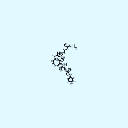 NC(=O)CCCNC(=O)C1CCC2CCCCC(NC(=O)CNC(=O)OCc3ccccc3)C(=O)N21